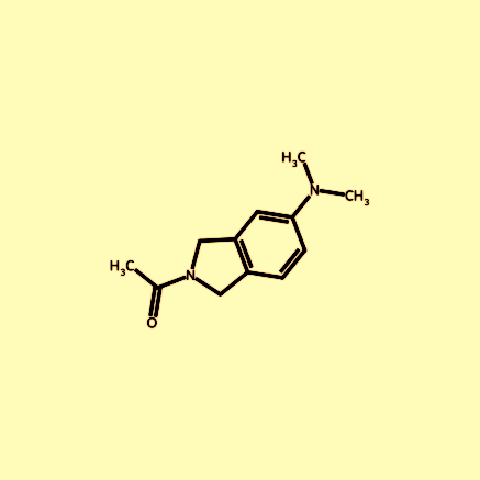 CC(=O)N1Cc2ccc(N(C)C)cc2C1